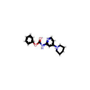 O=C(Nc1cc(N2CCCCC2)ccn1)Oc1ccccc1